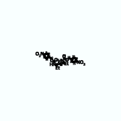 CCC(NC(=O)OCc1ccc([N+](=O)[O-])cc1)SSC(CC)NC(=O)OCc1ccc([N+](=O)[O-])cc1